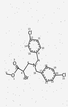 COC(=O)C(Br)CN(Cc1ccc(Cl)cc1)Cc1ccc(Cl)cc1